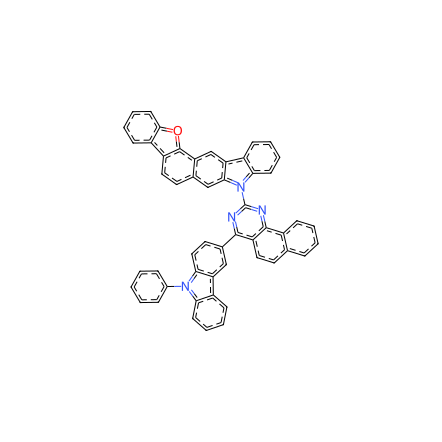 c1ccc(-n2c3ccccc3c3cc(-c4nc(-n5c6ccccc6c6cc7c(ccc8c9ccccc9oc78)cc65)nc5c4ccc4ccccc45)ccc32)cc1